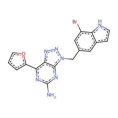 Nc1nc(-c2ccco2)c2nnn(Cc3cc(Br)c4[nH]ccc4c3)c2n1